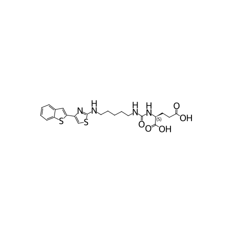 O=C(O)CC[C@H](NC(=O)NCCCCCNc1nc(-c2cc3ccccc3s2)cs1)C(=O)O